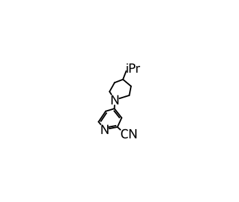 CC(C)C1CCN(c2ccnc(C#N)c2)CC1